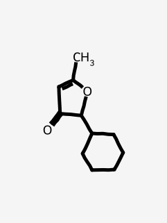 CC1=CC(=O)C(C2CCCCC2)O1